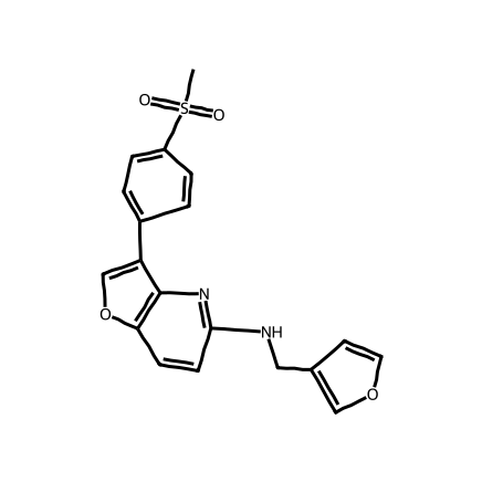 CS(=O)(=O)c1ccc(-c2coc3ccc(NCc4ccoc4)nc23)cc1